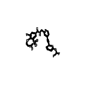 O=C(NCc1cc(C#Cc2cccc(OC(F)F)n2)ccn1)c1cc(F)c2c(c1)S(=O)(=O)[C@@H](F)CCO2